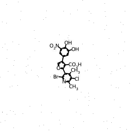 Cc1nc(Br)c(-c2occ(-c3cc(O)c(O)c([N+](=O)[O-])c3)c2C(=O)O)c(C)c1Cl